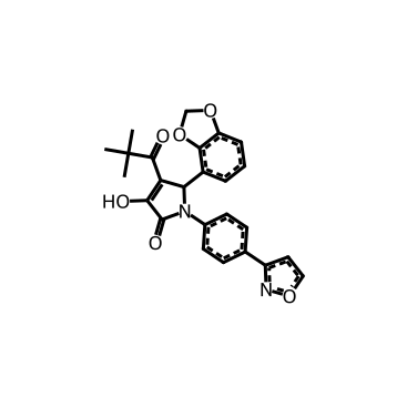 CC(C)(C)C(=O)C1=C(O)C(=O)N(c2ccc(-c3ccon3)cc2)C1c1cccc2c1OCO2